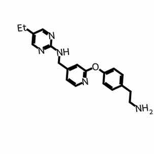 CCc1cnc(NCc2ccnc(Oc3ccc(CCN)cc3)c2)nc1